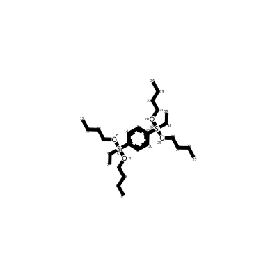 CCCCO[Si](CC)(OCCCC)c1ccc([Si](CC)(OCCCC)OCCCC)cc1